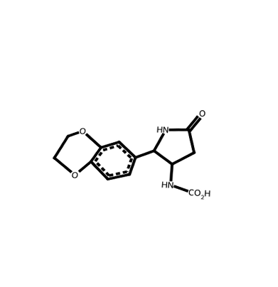 O=C(O)NC1CC(=O)NC1c1ccc2c(c1)OCCO2